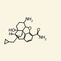 NC(=O)c1ccc2c3c1OC1[C@H](N)CC[C@@]4(O)[C@@H](C2)N(CC2CC2)CC[C@]314